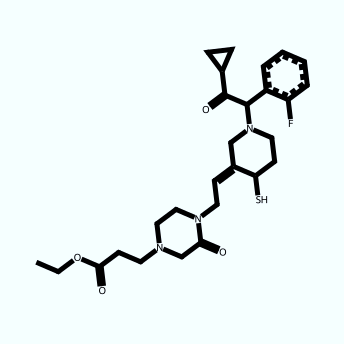 CCOC(=O)CCN1CCN(C/C=C2/CN(C(C(=O)C3CC3)c3ccccc3F)CCC2S)C(=O)C1